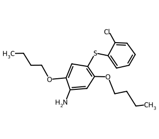 CCCCOc1cc(Sc2ccccc2Cl)c(OCCCC)cc1N